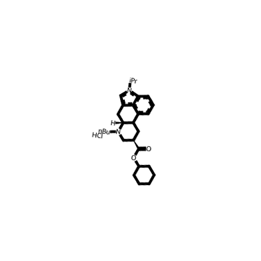 CCCCN1C[C@H](C(=O)OC2CCCCC2)CC2c3cccc4c3c(cn4C(C)C)C[C@H]21.Cl